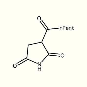 CCCCCC(=O)C1CC(=O)NC1=O